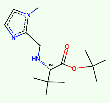 Cn1ccnc1CN[C@H](C(=O)OC(C)(C)C)C(C)(C)C